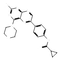 Nc1nc(N2CCOCC2)c2nc(-c3ccc(NC(=O)C4CC4)cc3)cnc2n1